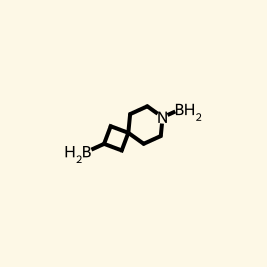 BC1CC2(CCN(B)CC2)C1